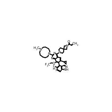 C=CC(=O)N1CC2(CCN(c3nc(N4CCCCCN(C)CCCC4)nc4c(OCC(F)(F)F)c(-c5c(C)ccc6[nH]ncc56)c(C5CC5)cc34)CC2)C1